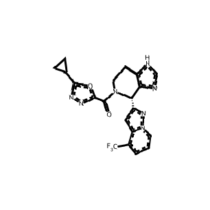 O=C(c1nnc(C2CC2)o1)N1CCc2[nH]cnc2[C@@H]1c1cc2c(C(F)(F)F)cccn2n1